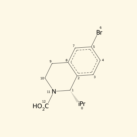 CC(C)[C@H]1c2ccc(Br)cc2CCN1C(=O)O